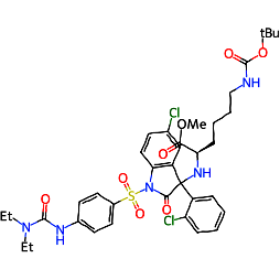 CCN(CC)C(=O)Nc1ccc(S(=O)(=O)N2C(=O)C(N[C@H](CCCCNC(=O)OC(C)(C)C)C(=O)OC)(c3ccccc3Cl)c3cc(Cl)ccc32)cc1